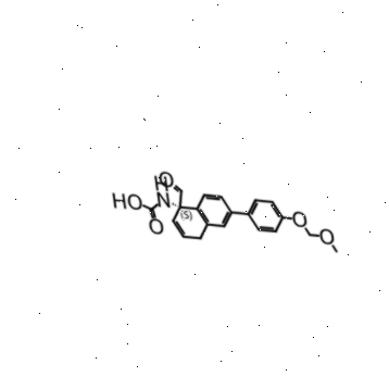 COCOc1ccc(-c2ccc3c(c2)CC=C[C@]3(C=O)NC(=O)O)cc1